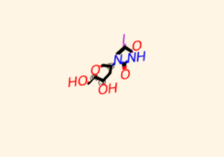 O=c1[nH]c(=O)n([C@@H]2CO[C@H](CO)[C@@H](O)C2)cc1I